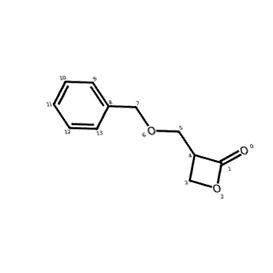 O=C1OCC1COCc1ccccc1